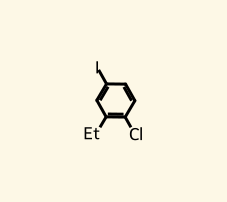 CCc1cc(I)ccc1Cl